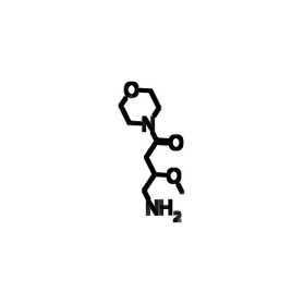 COC(CN)CC(=O)N1CCOCC1